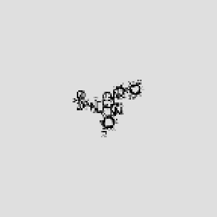 CS(=O)(=O)CCN1CCC(c2c(C(=O)N3CC[C@H](c4ccccc4)C3)cnn2-c2ccc(F)cc2)CC1